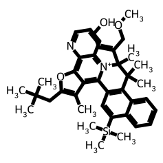 COC/C(=C\CO)C1(C)[n+]2c(c3c(C)c(CC(C)(C)C)oc3c3ncccc32)-c2cc([Si](C)(C)C)c3ccccc3c2C1(C)C